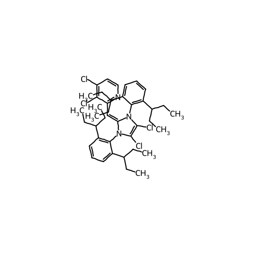 CCC(CC)c1cccc(C(CC)CC)c1N1C(=Cc2nccc(Cl)c2Cl)N(c2c(C(CC)CC)cccc2C(CC)CC)C(Cl)=C1Cl